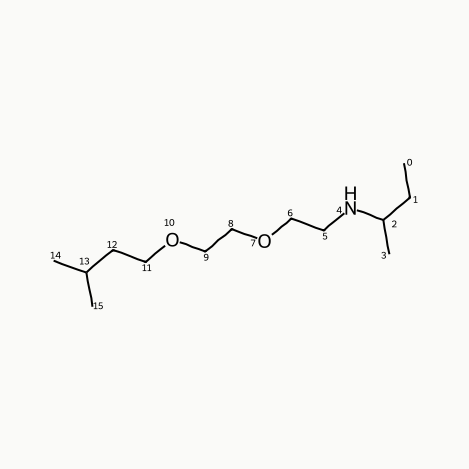 CCC(C)NCCOCCOCCC(C)C